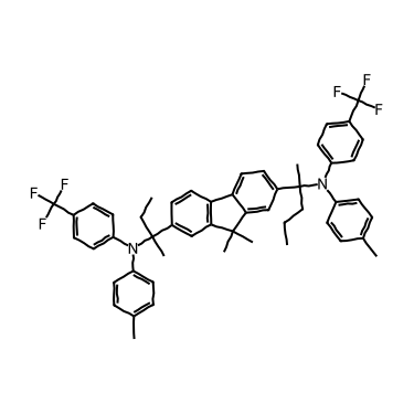 CCCC(C)(c1ccc2c(c1)C(C)(C)c1cc(C(C)(CC)N(c3ccc(C)cc3)c3ccc(C(F)(F)F)cc3)ccc1-2)N(c1ccc(C)cc1)c1ccc(C(F)(F)F)cc1